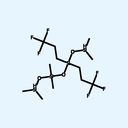 C[SiH](C)O[Si](C)(C)O[Si](CCC(F)(F)F)(CCC(F)(F)F)O[SiH](C)C